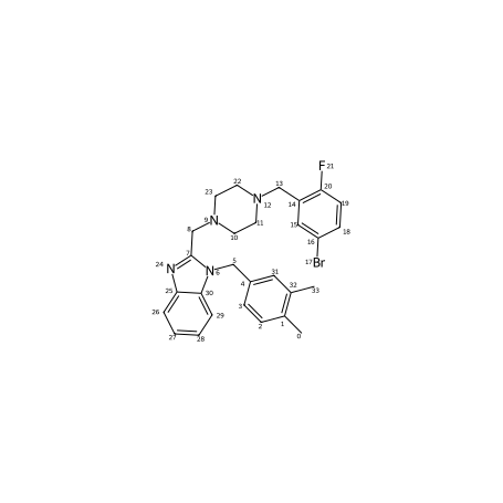 Cc1ccc(Cn2c(CN3CCN(Cc4cc(Br)ccc4F)CC3)nc3ccccc32)cc1C